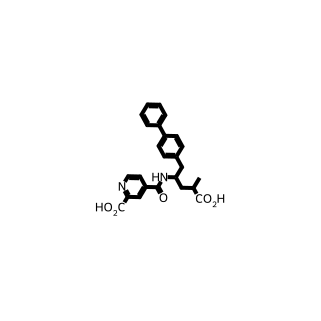 CC(CC(Cc1ccc(-c2ccccc2)cc1)NC(=O)c1ccnc(C(=O)O)c1)C(=O)O